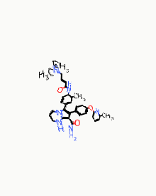 Cc1cccc(Oc2ccc(-c3c(C(N)=O)c4n(c3C3=CC(C)C(NC(=O)/C=C/CN(C)C)C=C3)CCCN4)cc2)n1